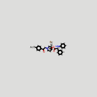 CC(=O)Oc1ccc(C(=O)C[N+]23CCC(CC2)[C@@H](OC(=O)[C@H](Nc2ccccc2)c2ccccc2)C3)cc1.[Br-]